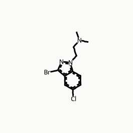 CN(C)CCn1nc(Br)c2cc(Cl)ccc21